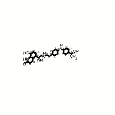 N=C(N)c1ccc(Nc2ccc(CCNC[C@H](O)c3ccc(O)c4[nH]c(=O)ccc34)cc2)cc1